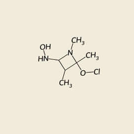 CC1C(NO)N(C)C1(C)OCl